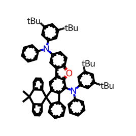 CC(C)(C)c1cc(N(c2ccccc2)c2ccc3oc4c(N(c5ccccc5)c5cc(C(C)(C)C)cc(C(C)(C)C)c5)c5c(cc4c3c2)C2(c3ccccc3-5)c3ccccc3C(C)(C)c3ccccc32)cc(C(C)(C)C)c1